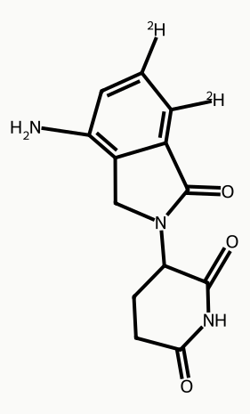 [2H]c1cc(N)c2c(c1[2H])C(=O)N(C1CCC(=O)NC1=O)C2